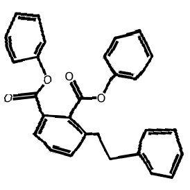 O=C(Oc1ccccc1)c1cccc(CCc2ccccc2)c1C(=O)Oc1ccccc1